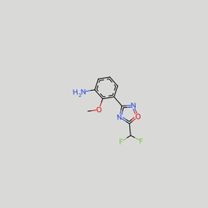 COc1c(N)cccc1-c1noc(C(F)F)n1